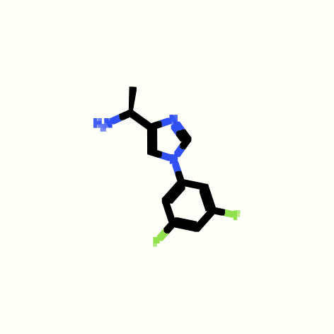 C[C@H](N)c1cn(-c2cc(F)cc(F)c2)cn1